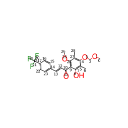 COCOc1c(C)c(O)c(C(=O)/C=C/c2ccc(C(F)(F)F)cc2)c(OC)c1C